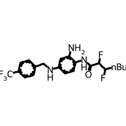 CCCCC(F)C(F)C(=O)Nc1ccc(NCc2ccc(C(F)(F)F)cc2)cc1N